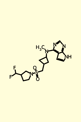 CN(c1ncnc2[nH]ccc12)C1CC(CS(=O)(=O)N2CCC(C(F)F)C2)C1